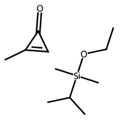 CCO[Si](C)(C)C(C)C.Cc1cc1=O